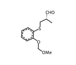 COCOc1ccccc1SC[C@@H](C)C=O